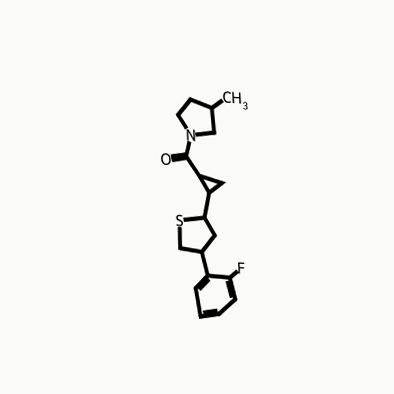 CC1CCN(C(=O)C2CC2C2CC(c3ccccc3F)CS2)C1